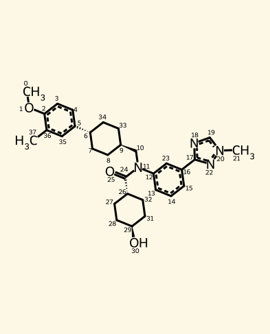 COc1ccc([C@H]2CC[C@H](CN(c3cccc(-c4ncn(C)n4)c3)C(=O)[C@H]3CC[C@H](O)CC3)CC2)cc1C